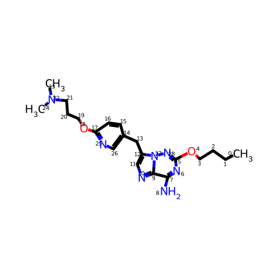 CCCCOc1nc(N)c2ncc(Cc3ccc(OCCCN(C)C)nc3)n2n1